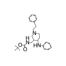 CC(C)(C)OC(=O)NCC1CN(CCc2ccccc2)CCC1Nc1ccccc1